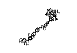 CC(C)(C)n1nc(-c2noc(C3CC3)c2-c2ncc(C3CC4(C3)CN(C(=O)OCCN3CCC(N5CCN(c6c(F)cc(N[C@H]7CCC(=O)NC7=O)cc6F)CC5)CC3)C4)cn2)c2c(N)ncnc21